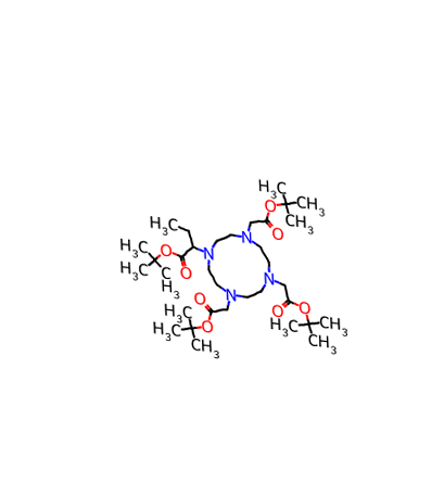 CCC(C(=O)OC(C)(C)C)N1CCN(CC(=O)OC(C)(C)C)CCN(CC(=O)OC(C)(C)C)CCN(CC(=O)OC(C)(C)C)CC1